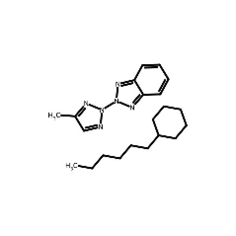 CCCCCCC1CCCCC1.Cc1cnn(-n2nc3ccccc3n2)n1